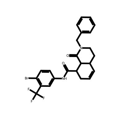 O=C(Nc1ccc(Br)c(C(F)(F)F)c1)C1CC=CC2CCN(Cc3ccccc3)C(=O)C21